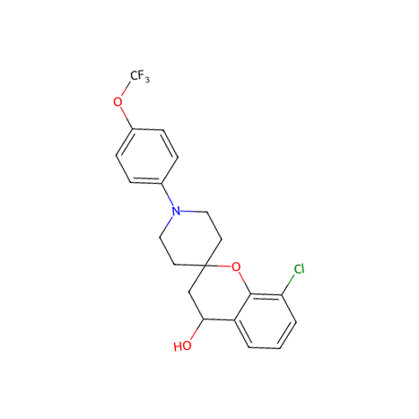 OC1CC2(CCN(c3ccc(OC(F)(F)F)cc3)CC2)Oc2c(Cl)cccc21